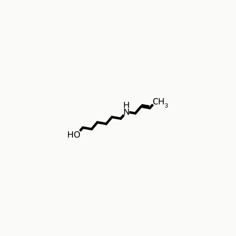 CC=CCNCCCCCCO